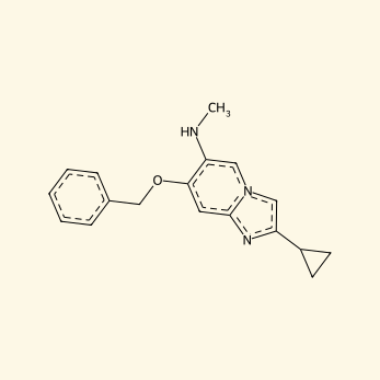 CNc1cn2cc(C3CC3)nc2cc1OCc1ccccc1